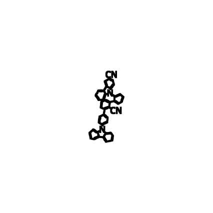 N#Cc1ccc2c(c1)c1ccccc1n2-c1ccccc1-c1cccc(-c2ccc(-n3c4ccccc4c4ccccc43)cc2)c1C#N